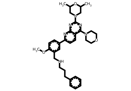 COc1ccc(-c2ccc3c(N4CCOCC4)nc(N4CC(C)OC(C)C4)nc3n2)cc1CNCCCc1ccccc1